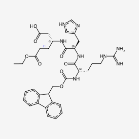 CCOC(=O)/C=C/[C@H](CC(=O)O)NC(=O)[C@@H](Cc1c[nH]cn1)NC(=O)[C@H](CCCNC(=N)N)NC(=O)OCC1c2ccccc2-c2ccccc21